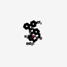 CCOC(=O)C(COC(=O)Cc1ccc(NC(=O)c2ccccc2-c2ccc(C(F)(F)F)cc2)c(C(=O)N(C)C)c1)c1cccs1